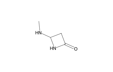 CNC1CC(=O)N1